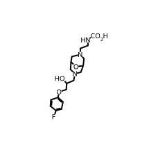 O=C(O)NCCN1CC2CN(CC(O)COc3ccc(F)cc3)CC(C1)O2